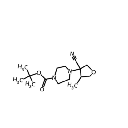 CC1COCC1(C#N)N1CCN(C(=O)OC(C)(C)C)CC1